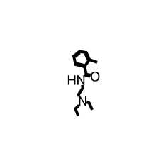 CCN(CC)CCNC(=O)c1ccccc1C